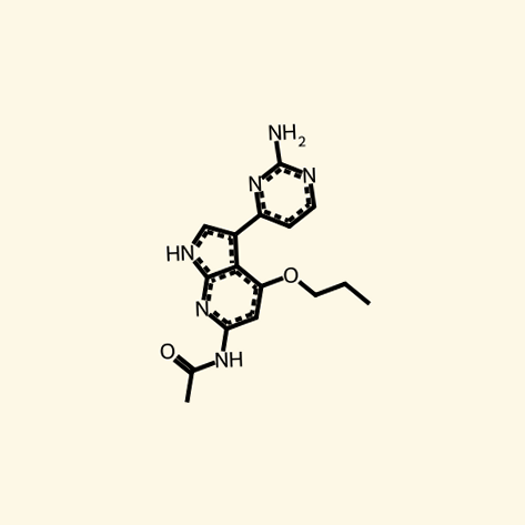 CCCOc1cc(NC(C)=O)nc2[nH]cc(-c3ccnc(N)n3)c12